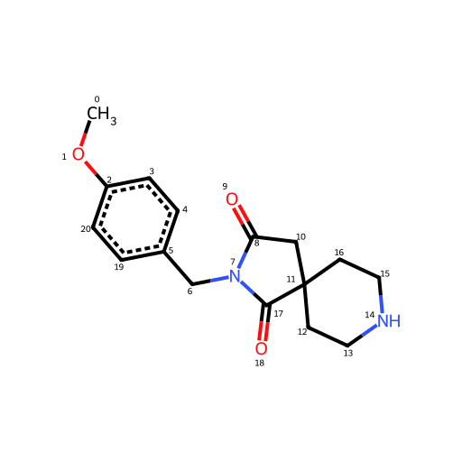 COc1ccc(CN2C(=O)CC3(CCNCC3)C2=O)cc1